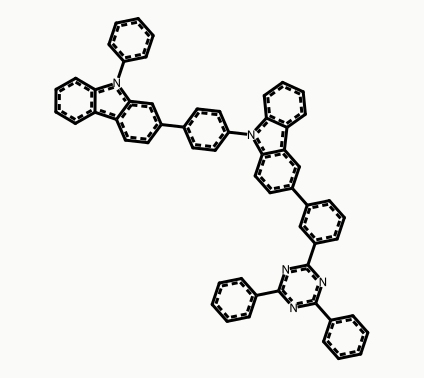 c1ccc(-c2nc(-c3ccccc3)nc(-c3cccc(-c4ccc5c(c4)c4ccccc4n5-c4ccc(-c5ccc6c7ccccc7n(-c7ccccc7)c6c5)cc4)c3)n2)cc1